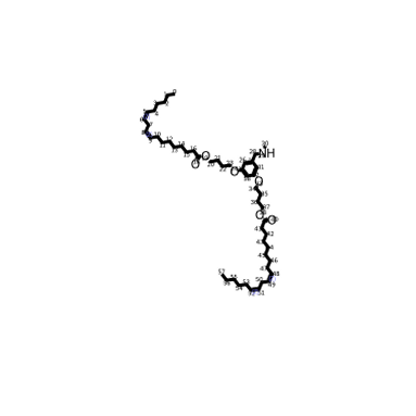 CCCCC/C=C\C/C=C\CCCCCCCC(=O)OCCCCOc1cc(CNC)cc(OCCCCOC(=O)CCCCCCC/C=C\C/C=C\CCCCC)c1